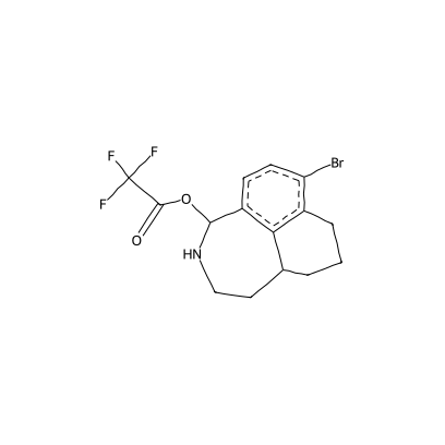 O=C(OC1NCCC2CCCc3c(Br)ccc1c32)C(F)(F)F